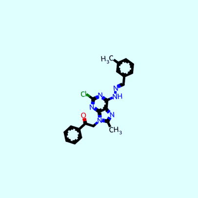 Cc1cccc(C=NNc2nc(Cl)nc3c2nc(C)n3CC(=O)c2ccccc2)c1